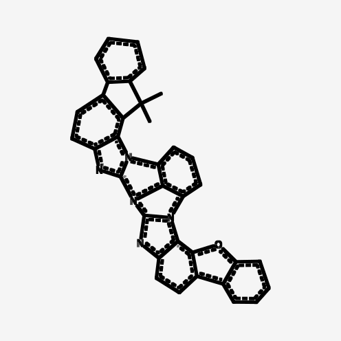 CC1(C)c2ccccc2-c2ccc3nc4n(c5cccc6c5n4c4nc5ccc7c8ccccc8oc7c5n64)c3c21